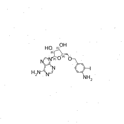 Nc1ccc(COC[C@H]2O[C@@H](n3cnc4c(N)ncnc43)[C@H](O)[C@@H]2O)cc1I